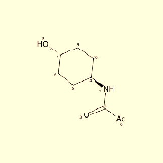 CC(=O)C(=O)N[C@H]1CC[C@H](O)CC1